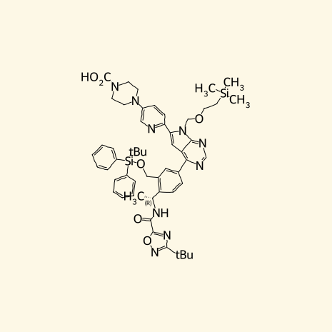 C[C@@H](NC(=O)c1nc(C(C)(C)C)no1)c1ccc(-c2ncnc3c2cc(-c2ccc(N4CCN(C(=O)O)CC4)cn2)n3COCC[Si](C)(C)C)cc1CO[Si](c1ccccc1)(c1ccccc1)C(C)(C)C